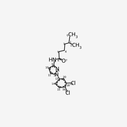 CC(C)CCCC(=O)Nc1ccn(-c2ccc(Cl)c(Cl)c2)n1